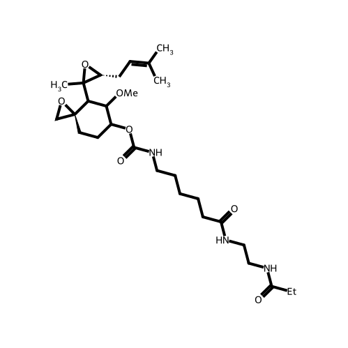 CCC(=O)NCCNC(=O)CCCCCNC(=O)OC1CC[C@]2(CO2)C(C2(C)O[C@@H]2CC=C(C)C)C1OC